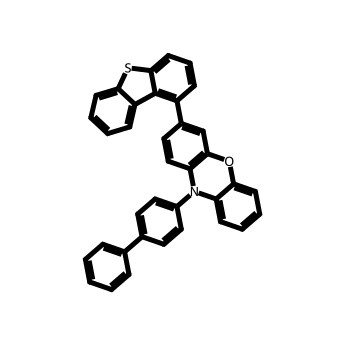 c1ccc(-c2ccc(N3c4ccccc4Oc4cc(-c5cccc6sc7ccccc7c56)ccc43)cc2)cc1